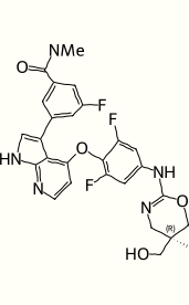 CNC(=O)c1cc(F)cc(-c2c[nH]c3nccc(Oc4c(F)cc(NC5=NC[C@](C)(CO)CO5)cc4F)c23)c1